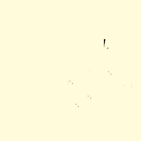 O=C(O)N1C[C@H](F)C[C@H]1c1nnc(CCCC(F)(F)F)[nH]1